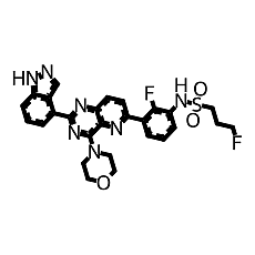 O=S(=O)(CCCF)Nc1cccc(-c2ccc3nc(-c4cccc5[nH]ncc45)nc(N4CCOCC4)c3n2)c1F